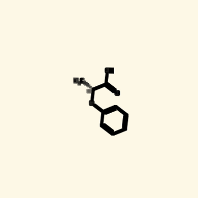 C[C@@H](Oc1ccccc1)C(=O)O